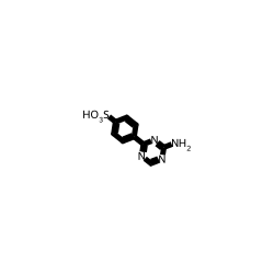 Nc1ncnc(-c2ccc(S(=O)(=O)O)cc2)n1